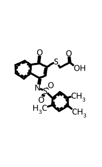 Cc1cc(C)c(S(=O)(=O)/N=C2\C=C(SCC(=O)O)C(=O)c3ccccc32)cc1C